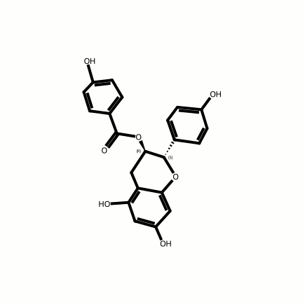 O=C(O[C@@H]1Cc2c(O)cc(O)cc2O[C@H]1c1ccc(O)cc1)c1ccc(O)cc1